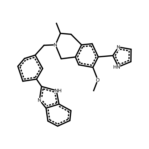 COc1cc2c(cc1-c1ncc[nH]1)CC(C)N(Cc1cccc(-c3nc4ccccc4[nH]3)c1)C2